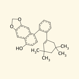 CC1(C)C=C(c2ccccc2-c2ccc(O)c3cc4c(cc23)OCO4)CC(C)(C)C1